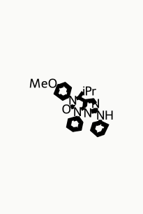 COc1ccc(N2C(=O)N(c3ccccc3)c3nc(Nc4ccccc4)ncc3C2C(C)C)cc1